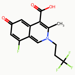 Cc1c(C(=O)O)c2cc(=O)cc(F)c-2cn1CCC(F)(F)F